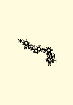 N#Cc1ccc(N2CCN([C@@H]3CCc4cc(COc5cccc6c5CN([C@H]5CCC(=O)NC5=O)C6=O)ccc43)CC2)c(F)c1